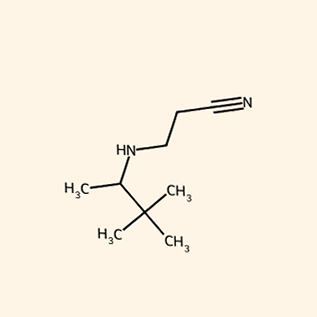 CC(NCCC#N)C(C)(C)C